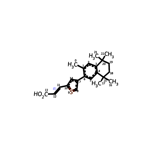 Cc1cc2c(cc1-c1csc(/C=C/C(=O)O)c1)C(C)(C)CCC2(C)C